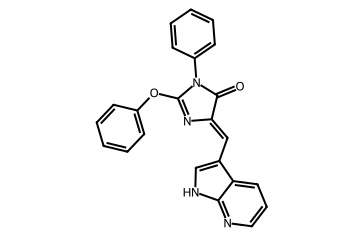 O=C1/C(=C/c2c[nH]c3ncccc23)N=C(Oc2ccccc2)N1c1ccccc1